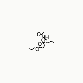 CCCOC1CCC(CNC(C)=O)(OCCC)O1